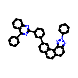 c1ccc(-c2nc(-c3cccc(-c4ccc5ccc6ccc7nn(-c8ccccc8)nc7c6c5c4)c3)nc3ccccc23)cc1